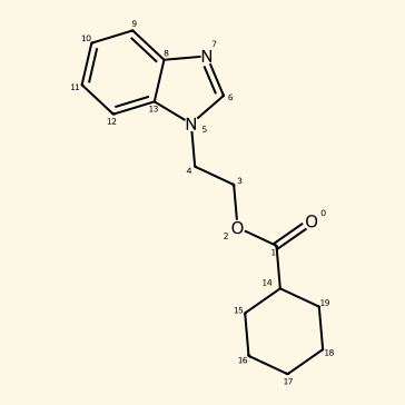 O=C(OCCn1cnc2ccccc21)C1CCCCC1